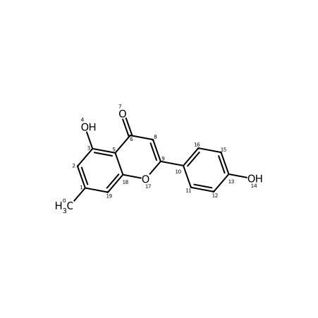 Cc1cc(O)c2c(=O)cc(-c3ccc(O)cc3)oc2c1